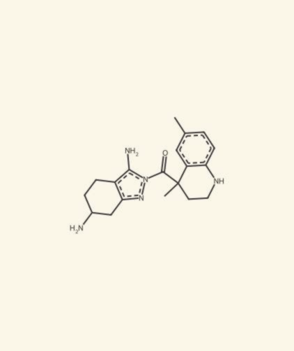 Cc1ccc2c(c1)C(C)(C(=O)n1nc3c(c1N)CCC(N)C3)CCN2